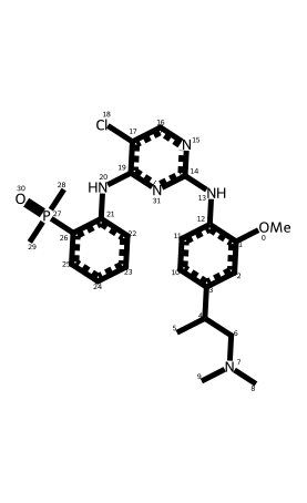 COc1cc(C(C)CN(C)C)ccc1Nc1ncc(Cl)c(Nc2ccccc2P(C)(C)=O)n1